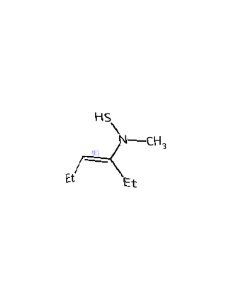 CC/C=C(\CC)N(C)S